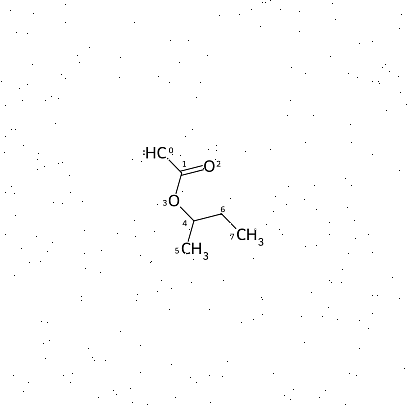 [CH]C(=O)OC(C)CC